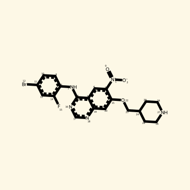 O=[N+]([O-])c1cc2c(Nc3ccc(Br)cc3F)ncnc2cc1OCC1CCNCC1